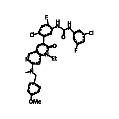 CCn1c(=O)c(-c2cc(NC(=O)Nc3cc(F)cc(Cl)c3)c(F)cc2Cl)cc2cnc(N(C)Cc3ccc(OC)cc3)cc21